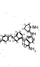 NC(=O)c1cnc(N[C@@H]2CCCC[C@@H]2N)nc1Nc1cccc2c1ccn2Cc1ccc(Cl)cc1